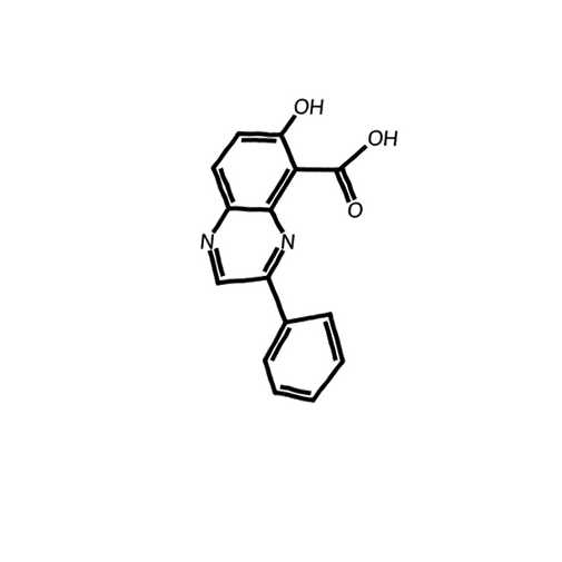 O=C(O)c1c(O)ccc2ncc(-c3ccccc3)nc12